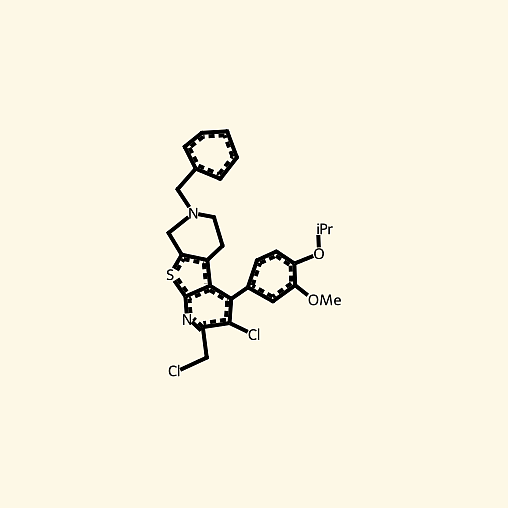 COc1cc(-c2c(Cl)c(CCl)nc3sc4c(c23)CCN(Cc2ccccc2)C4)ccc1OC(C)C